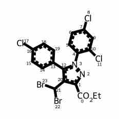 CCOC(=O)c1nn(-c2ccc(Cl)cc2Cl)c(-c2ccc(Cl)cc2)c1C(Br)Br